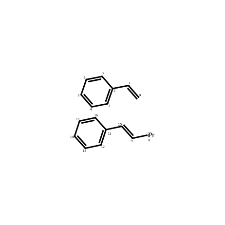 C=Cc1ccccc1.CC(C)C=Cc1ccccc1